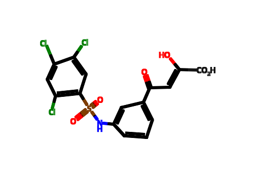 O=C(O)/C(O)=C/C(=O)c1cccc(NS(=O)(=O)c2cc(Cl)c(Cl)cc2Cl)c1